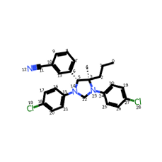 CCC[C@]1(C)[C@@H](c2cccc(C#N)c2)N(c2ccc(Cl)cc2)CN1c1ccc(Cl)cc1